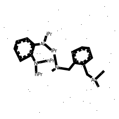 CCCN(CCC)c1cccc[c]1[Al]([CH](C)C)[CH](C)C.CN(C)Cc1ccccc1[CH2][Al]([CH3])[CH3]